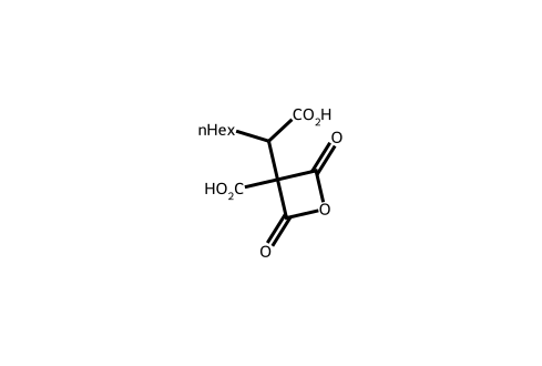 CCCCCCC(C(=O)O)C1(C(=O)O)C(=O)OC1=O